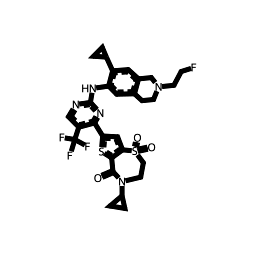 O=C1c2sc(-c3nc(Nc4cc5c(cc4C4CC4)CN(CCF)CC5)ncc3C(F)(F)F)cc2S(=O)(=O)CCN1C1CC1